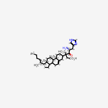 CC(C)CCC[C@@H](C)[C@H]1CCC2C3CC=C4CC(C(CC(=O)O)(C(=O)O)C(=O)[C@@H](N)Cc5c[nH]cn5)CC[C@]4(C)C3CC[C@@]21C